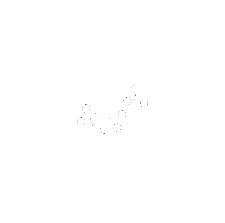 CN1c2c(c3ccccc3c3ccccc23)N=C(C(C)(C)C)C1c1cccc(-c2cccc(-c3ccc(-c4ccc5c6ccccc6n(-c6ccccc6)c5c4)cc3)c2)c1